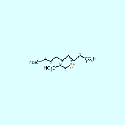 CCCCCCCCCCCCCCCCCC(=O)O.O=C(O)CCS